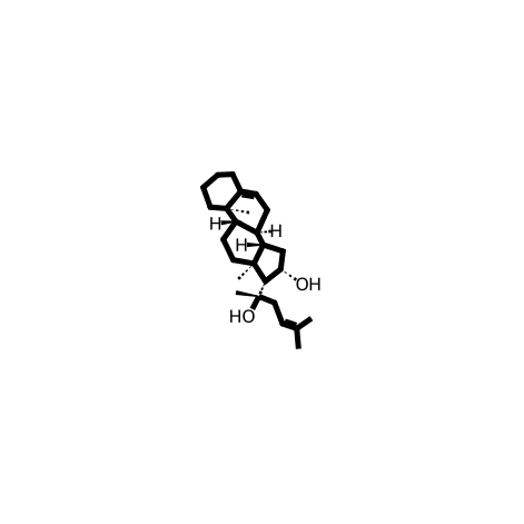 CC(C)=CC[C@](C)(O)[C@H]1[C@@H](O)C[C@H]2[C@@H]3CC=C4CCCC[C@]4(C)[C@H]3CC[C@@]21C